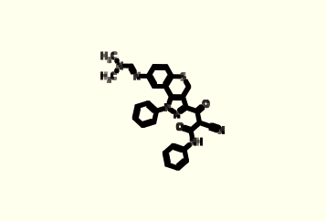 CN(C)C=Nc1ccc2c(c1)-c1c(c(C(=O)C(C#N)C(=O)Nc3ccccc3)nn1-c1ccccc1)CS2